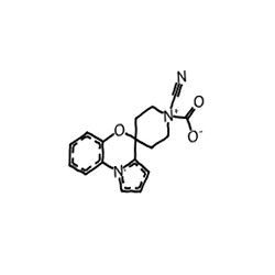 N#C[N+]1(C(=O)[O-])CCC2(CC1)Oc1ccccc1-n1cccc12